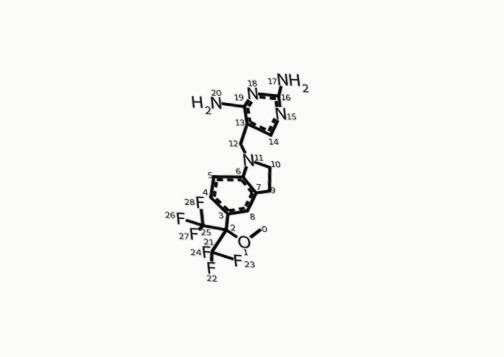 COC(c1ccc2c(c1)CCN2Cc1cnc(N)nc1N)(C(F)(F)F)C(F)(F)F